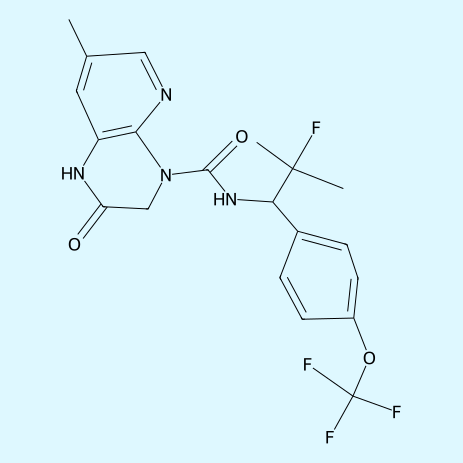 Cc1cnc2c(c1)NC(=O)CN2C(=O)NC(c1ccc(OC(F)(F)F)cc1)C(C)(C)F